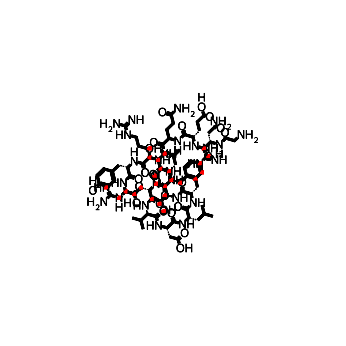 CC(C)C[C@H](NC(=O)[C@H](CC(=O)O)NC(=O)[C@@H](NC(=O)[C@H](CCCNC(=N)N)NC(=O)[C@H](Cc1ccccc1)NC(=O)[C@H](CO)NC(=O)C(CCC(N)=O)NC(=O)[C@H](CCC(=O)O)NC(=O)[C@H](CC(N)=O)NC(=O)CN)C(C)C)C(=O)N[C@@H](CCCNC(=N)N)C(=O)N[C@H](C(=O)N[C@@H](CC(C)C)C(=O)N[C@@H](CCCNC(=N)N)C(=O)N[C@@H](Cc1ccc(O)cc1)C(=O)N[C@@H](C)C(=O)O)C(C)O